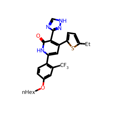 CCCCCCOc1ccc(-c2cc(-c3ccc(CC)s3)c(-c3nc[nH]n3)c(=O)[nH]2)c(C(F)(F)F)c1